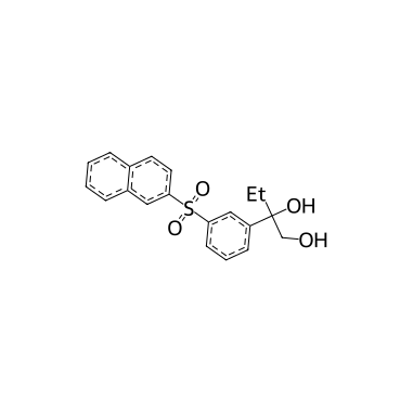 CCC(O)(CO)c1cccc(S(=O)(=O)c2ccc3ccccc3c2)c1